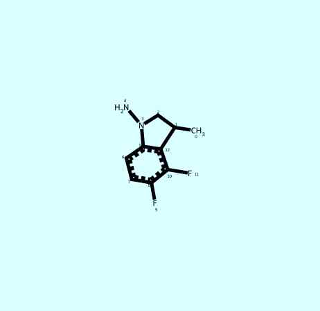 CC1CN(N)c2ccc(F)c(F)c21